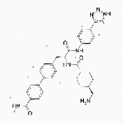 CNC(=O)c1ccc(-c2ccc(C[C@H](NC(=O)[C@H]3CC[C@H](CN)CC3)C(=O)Nc3ccc(-c4nn[nH]n4)cc3)cc2)c(C)c1